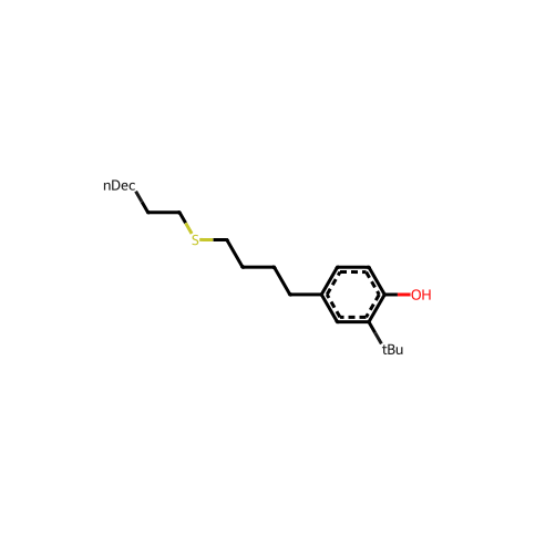 CCCCCCCCCCCCSCCCCc1ccc(O)c(C(C)(C)C)c1